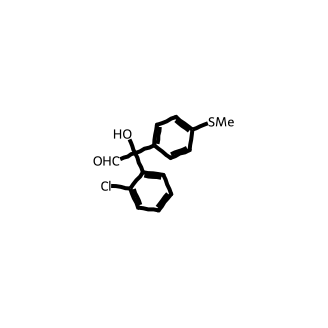 CSc1ccc(C(O)(C=O)c2ccccc2Cl)cc1